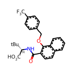 CC(C)(C)[C@H](NC(=O)c1ccc2ccccc2c1OCc1ccc(C(F)(F)F)cc1)C(=O)O